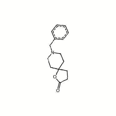 O=C1CCC2(CCN(Cc3ccccc3)CC2)O1